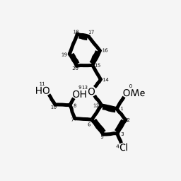 COc1cc(Cl)cc(CC(O)CO)c1OCc1ccccc1